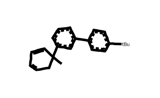 CC(C)(C)c1ccc(-c2cccc(C3(C)C=CC=CC3)c2)cc1